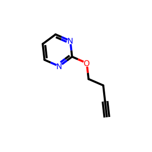 C#CCCOc1ncccn1